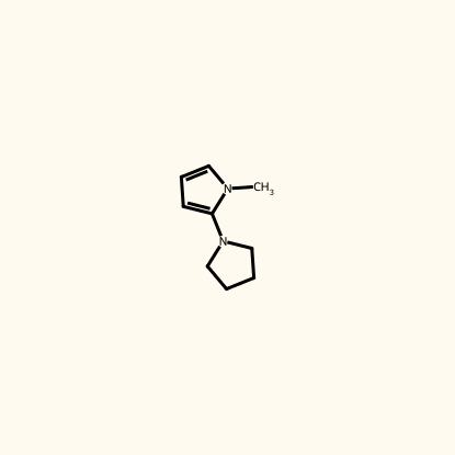 Cn1cccc1N1CCCC1